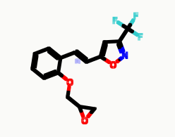 FC(F)(F)c1cc(/C=C/c2ccccc2OCC2CO2)on1